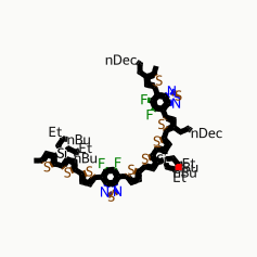 CCCCCCCCCCCCc1cc(-c2c(F)c(F)c(-c3cc(CCCCCCCCCCCC)c(-c4cc5c(s4)-c4sc(-c6ccc(-c7c(F)c(F)c(-c8ccc(-c9cc%10c(s9)-c9sc(C)cc9[Si]%10(CC(CC)CCCC)CC(CC)CCCC)s8)c8nsnc78)s6)cc4[Si]5(CC(CC)CCCC)CC(CC)CCCC)s3)c3nsnc23)sc1C